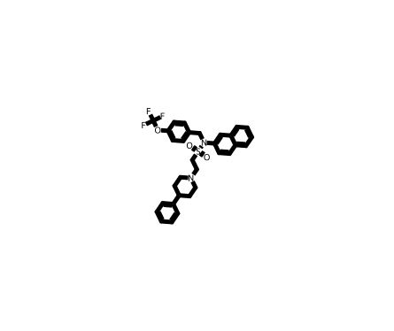 O=S(=O)(CCN1CCC(c2ccccc2)CC1)N(Cc1ccc(OC(F)(F)F)cc1)c1ccc2ccccc2c1